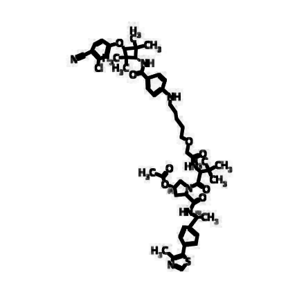 CC(=O)O[C@@H]1CC(C(=O)N[C@@H](C)c2ccc(-c3scnc3C)cc2)N(C(=O)C(NC(=O)COCCCCCNc2ccc(C(=O)N[C@H]3C(C)(C)[C@H](Oc4ccc(C#N)c(Cl)c4)C3(C)C)cc2)C(C)(C)C)C1